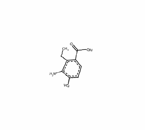 CCc1c(C(=O)O)ccc(O)c1N